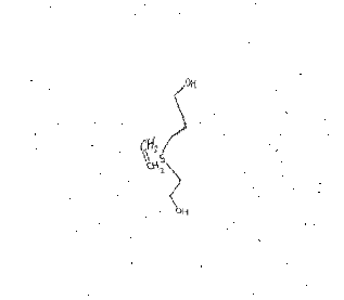 C=C.OCCSCCO